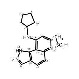 CS(=O)(=O)O.c1cc(NC2CCCC2)c2c(ccc3cn[nH]c32)n1